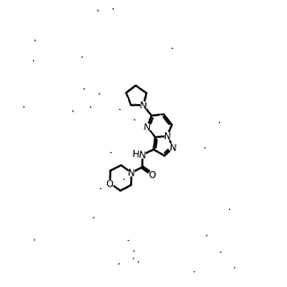 O=C(Nc1cnn2ccc(N3CCCC3)nc12)N1CCOCC1